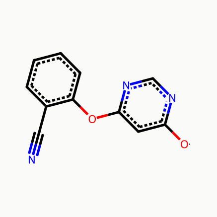 N#Cc1ccccc1Oc1cc([O])ncn1